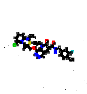 CN(SC1(COc2nncc3cc(C(=O)NCc4ccc(C#N)c(F)c4)c(=O)n(C)c23)CC1)c1cccc(Cl)n1